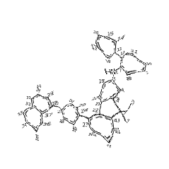 CC1(C)c2cc(Nc3ccccc3-c3ccccc3)ccc2-c2c(-c3ccc(-c4cccc5ccccc45)cc3)cccc21